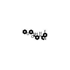 O=C(Nc1cccc(Oc2ccccc2)c1)c1cccc(Nc2ccnc3ccc(F)cc23)c1